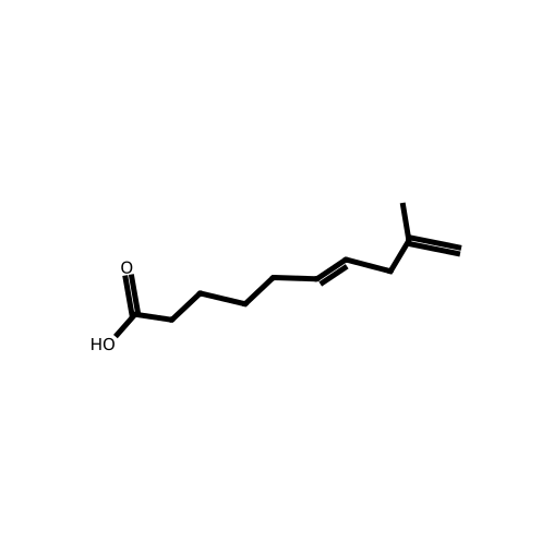 C=C(C)CC=CCCCCC(=O)O